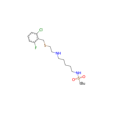 CC(C)(C)S(=O)(=O)NCCCCCNCCSCc1c(F)cccc1Cl